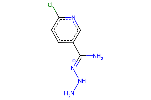 NN/N=C(\N)c1ccc(Cl)nc1